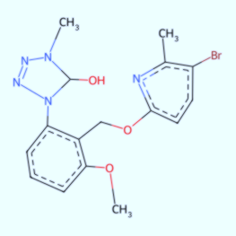 COc1cccc(N2N=NN(C)C2O)c1COc1ccc(Br)c(C)n1